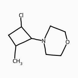 CC1CC(Cl)C1N1CCOCC1